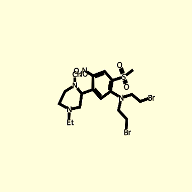 CCN1CCN(C=O)C(c2cc(N(CCBr)CCBr)c(S(C)(=O)=O)cc2[N+](=O)[O-])C1